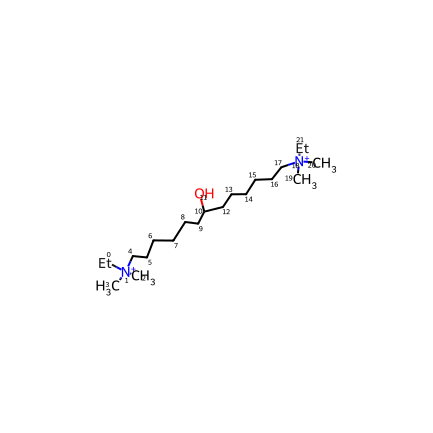 CC[N+](C)(C)CCCCCCC(O)CCCCCC[N+](C)(C)CC